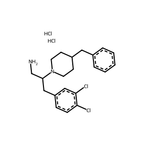 Cl.Cl.NCC(Cc1ccc(Cl)c(Cl)c1)N1CCC(Cc2ccccc2)CC1